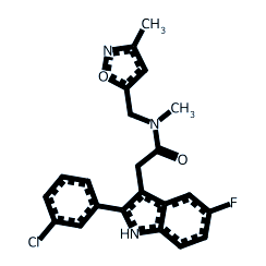 Cc1cc(CN(C)C(=O)Cc2c(-c3cccc(Cl)c3)[nH]c3ccc(F)cc23)on1